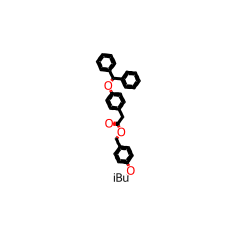 CCC(C)Oc1ccc(COC(=O)Cc2ccc(OC(c3ccccc3)c3ccccc3)cc2)cc1